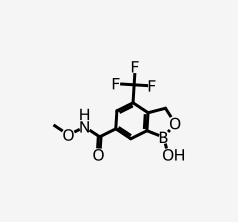 CONC(=O)c1cc2c(c(C(F)(F)F)c1)COB2O